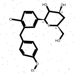 CCOc1ccc(Cc2cc([C@@H]3S[C@H](CO)C[C@H](O)C3O)ccc2Cl)cc1